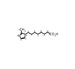 Cc1n[c]cn1CCCCCCCC(=O)O